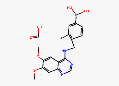 COc1cc2ncnc(NCc3ccc(B(O)O)cc3F)c2cc1OC.O=CO